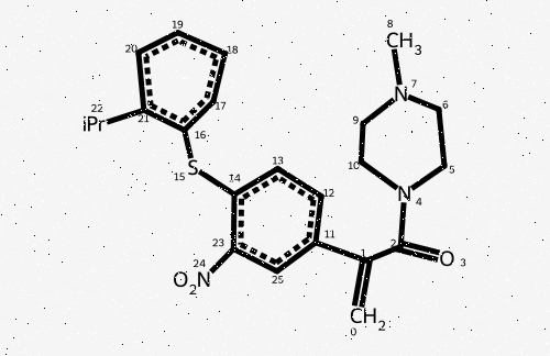 C=C(C(=O)N1CCN(C)CC1)c1ccc(Sc2ccccc2C(C)C)c([N+](=O)[O-])c1